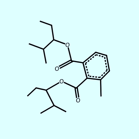 CCC(OC(=O)c1cccc(C)c1C(=O)OC(CC)C(C)C)C(C)C